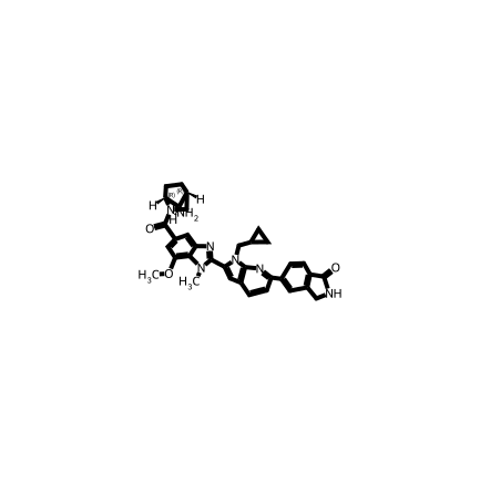 COc1cc(C(=O)N2C[C@H]3CC[C@@H]2[C@@H]3N)cc2nc(-c3cc4ccc(-c5ccc6c(c5)CNC6=O)nc4n3CC3CC3)n(C)c12